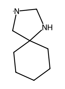 C1CCC2(CC1)C[N]CN2